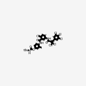 Cc1cc(OC(=O)NC(C)(C)C)ccc1NC(=O)c1cc(NC(=O)C2C(c3cc(Cl)c(Cl)c(Cl)c3)C2(Cl)Cl)ccc1Cl